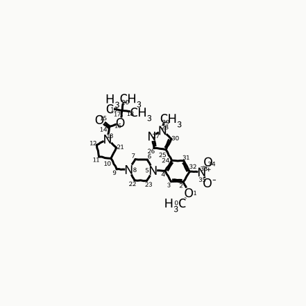 COc1cc(N2CCN(CC3CCN(C(=O)OC(C)(C)C)C3)CC2)c(-c2cnn(C)c2)cc1[N+](=O)[O-]